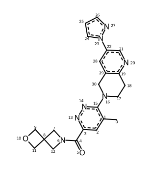 Cc1cc(C(=O)N2CC3(COC3)C2)nnc1N1CCc2ncc(-n3cccn3)cc2C1